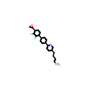 C/C=C/CCc1ccc(-c2ccc(-c3ccc(C4CO4)c(F)c3F)cc2)nc1